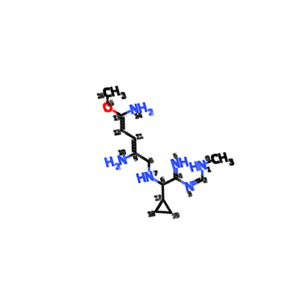 CN/C=N\C(=N)C(NC/C(N)=C/C=C(\N)OC)C1CC1